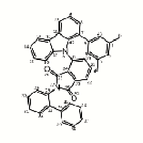 Cc1cc(C)cc(-c2cccc3c4ccccc4n(-c4cccc5c4C(=O)N(c4ccccc4-c4ccccc4)C5=O)c23)c1